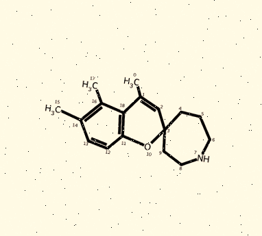 CC1=CC2(CCCNCC2)Oc2ccc(C)c(C)c21